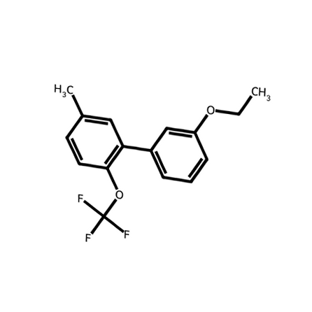 CCOc1cccc(-c2cc(C)ccc2OC(F)(F)F)c1